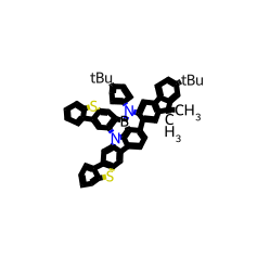 CC(C)(C)c1ccc(N2B3c4cc5sc6ccccc6c5cc4-n4c5cc6c(cc5c5ccc(c3c54)-c3cc4c(cc32)-c2ccc(C(C)(C)C)cc2C4(C)C)sc2ccccc26)cc1